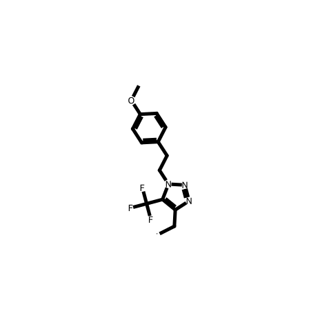 [CH2]Cc1nnn(CCc2ccc(OC)cc2)c1C(F)(F)F